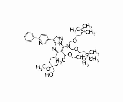 C=C(OCC)c1c(C2CCC(CO)(OC)CC2)nc2c(-c3ccc(-c4ccccc4)nc3)cnn2c1N(COCC[Si](C)(C)C)COCC[Si](C)(C)C